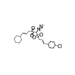 [N-]=[N+]=C(S(=O)(=O)CC=Cc1ccc(Cl)cc1)S(=O)(=O)CC=CC1CCCCC1